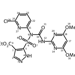 CCOC(=O)c1cn[nH]c1S(=O)(=O)N(C(=O)Nc1nc(OC)cc(OC)n1)c1cccc(Cl)n1